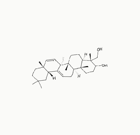 CC1(C)CC[C@]2(C)C=C[C@]3(C)C(=CC[C@@H]4[C@@]5(C)CCC(O)[C@@](C)(CO)[C@@H]5CC[C@]43C)[C@@H]2C1